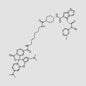 CCN(C(=O)Cn1c(C(=O)N[C@H]2CC[C@H](C(=O)NCCCCCCNC(=O)c3ccc4c(c3)C3(OC4=O)c4ccc(N(C)C)cc4Oc4cc(N(C)C)ccc43)CC2)cc2sccc21)c1cccc(C)c1